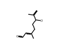 C=C(C)C(Cl)CCC(C)=CC=O